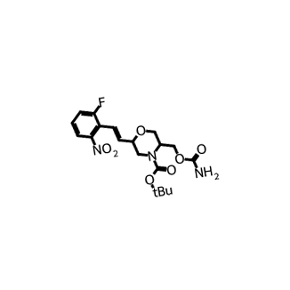 CC(C)(C)OC(=O)N1CC(/C=C/c2c(F)cccc2[N+](=O)[O-])OCC1COC(N)=O